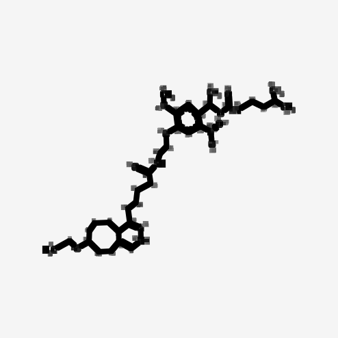 CCOC1CCCC2C(=CNN=C2CCCCC(=O)NCCOc2cc([N+](=O)[O-])c(C(C)OC(=O)NCCC(C)C)cc2OC)CC1